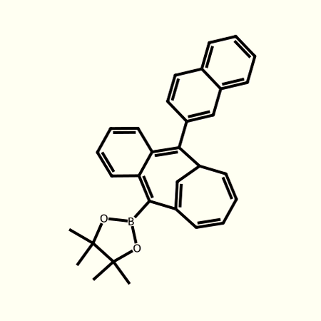 CC1(C)OB(C2=c3ccccc3=C(c3ccc4ccccc4c3)C3C=CC=CC2=C3)OC1(C)C